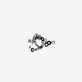 CN1C/C=C/[C@H](OCCN2CC[C@@H](F)C2)[C@@H]2CC[C@H]2CN2C[C@@]3(CCCc4cc(Cl)ccc43)COc3ccc(cc32)S(=O)(=O)NC(=O)C1(C)C